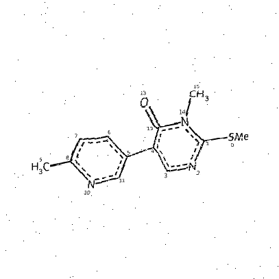 CSc1ncc(-c2ccc(C)nc2)c(=O)n1C